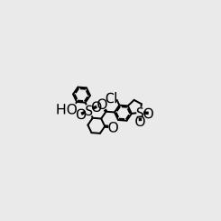 O=C1CCCC(S(=O)(=O)c2ccccc2O)C1C(=O)c1ccc2c(c1Cl)CCS2(=O)=O